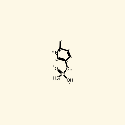 Cc1ccc(OP(=O)(O)S)cn1